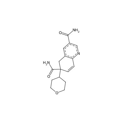 NC(=O)c1cnc2c(c1)CC(C(N)=O)(C1CCOCC1)C=C2